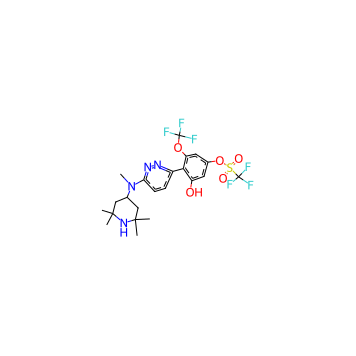 CN(c1ccc(-c2c(O)cc(OS(=O)(=O)C(F)(F)F)cc2OC(F)(F)F)nn1)C1CC(C)(C)NC(C)(C)C1